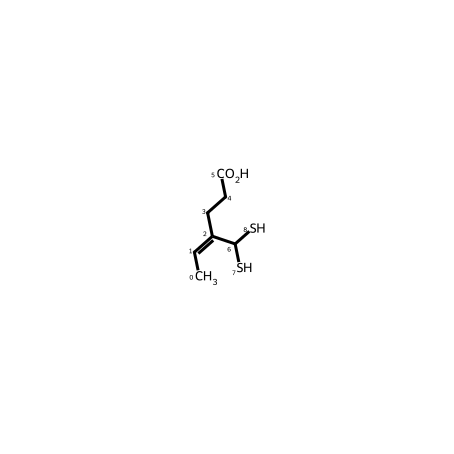 CC=C(CCC(=O)O)C(S)S